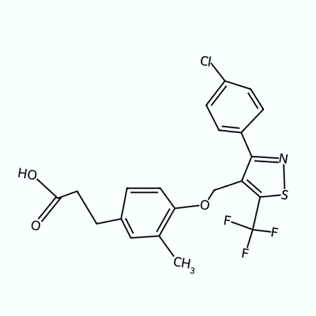 Cc1cc(CCC(=O)O)ccc1OCc1c(-c2ccc(Cl)cc2)nsc1C(F)(F)F